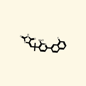 COc1nc(-c2ccc3cccc(F)c3c2)ccc1C(C)(C)/C=C1/OC(=O)NC1=O